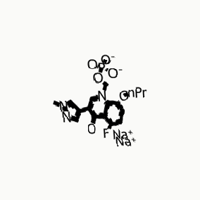 CCCOc1ccc(F)c2c(=O)c(-c3cnn(C)c3)cn(COP(=O)([O-])[O-])c12.[Na+].[Na+]